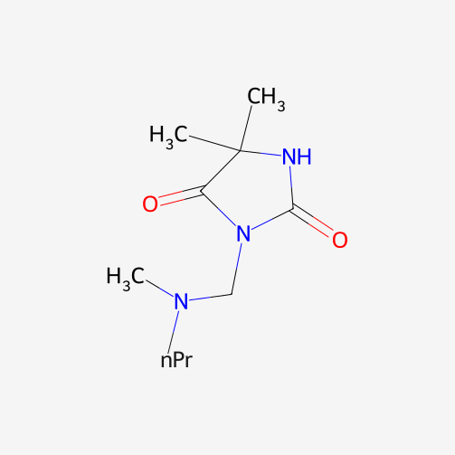 CCCN(C)CN1C(=O)NC(C)(C)C1=O